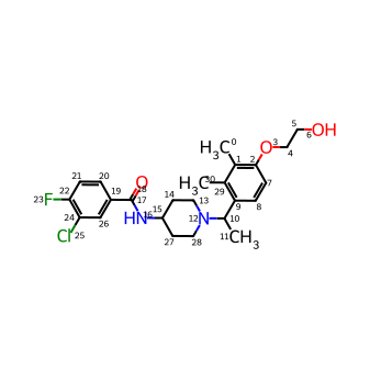 Cc1c(OCCO)ccc(C(C)N2CCC(NC(=O)c3ccc(F)c(Cl)c3)CC2)c1C